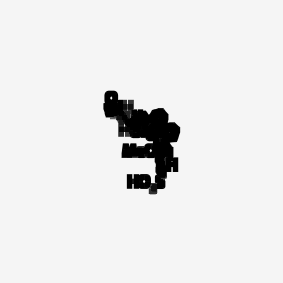 COc1nc(-c2cccc(-c3cccc(-c4cnc(CNC[C@@H]5CCC(=O)N5)c(OC)n4)c3Cl)c2Cl)cnc1CNCCS(=O)(=O)O